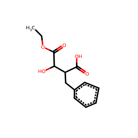 CCOC(=O)C(O)C(Cc1ccccc1)C(=O)O